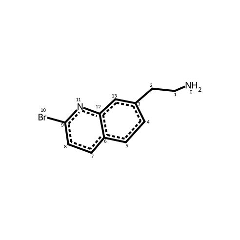 NCCc1ccc2ccc(Br)nc2c1